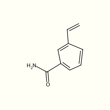 C=Cc1cccc(C(N)=O)c1